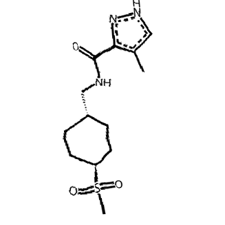 Cc1c[nH]nc1C(=O)NC[C@H]1CC[C@H](S(C)(=O)=O)CC1